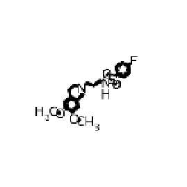 COc1cc2c(cc1OC)CN(CCCNS(=O)(=O)c1ccc(F)cc1)CC2